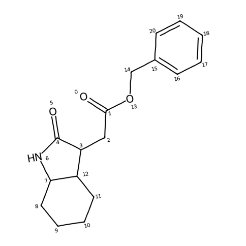 O=C(CC1C(=O)NC2CCCCC21)OCc1ccccc1